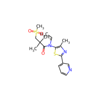 CCN(C(=O)C(C)(C)CS(C)(=O)=O)c1sc(-c2cccnc2)nc1C